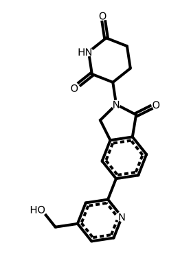 O=C1CCC(N2Cc3cc(-c4cc(CO)ccn4)ccc3C2=O)C(=O)N1